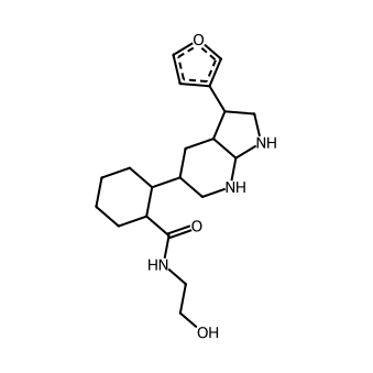 O=C(NCCO)C1CCCCC1C1CNC2NCC(c3ccoc3)C2C1